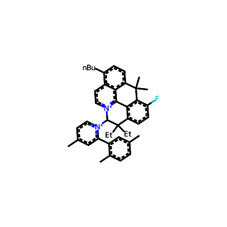 CCCCc1ccc2c3c4[n+](ccc13)C([n+]1ccc(C)cc1-c1cc(C)ccc1C)C(CC)(CC)c1ccc(F)c(c1-4)C2(C)C